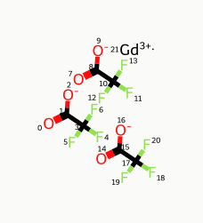 O=C([O-])C(F)(F)F.O=C([O-])C(F)(F)F.O=C([O-])C(F)(F)F.[Gd+3]